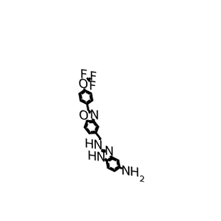 Nc1ccc2[nH]c(NCc3ccc4oc(-c5ccc(OC(F)(F)F)cc5)nc4c3)nc2c1